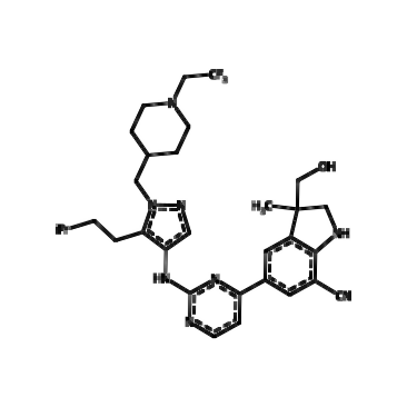 CC(C)CCc1c(Nc2nccc(-c3cc(C#N)c4c(c3)C(C)(CO)CN4)n2)cnn1CC1CCN(CC(F)(F)F)CC1